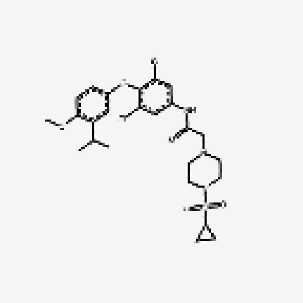 COc1ccc(Oc2c(Cl)cc(NC(=O)CN3CCN(S(=O)(=O)C4CC4)CC3)cc2Cl)cc1C(C)C